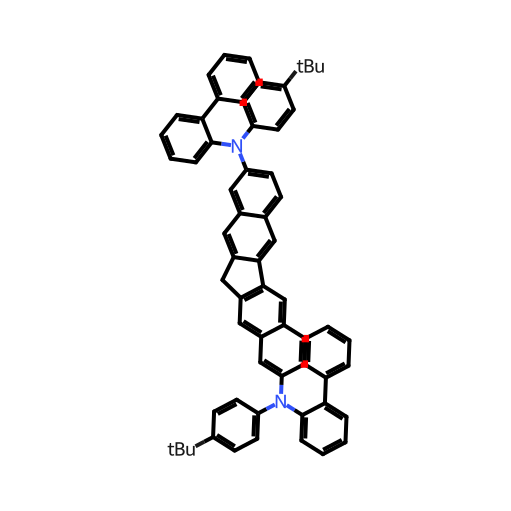 CC(C)(C)c1ccc(N(c2ccc3cc4c(cc3c2)Cc2cc3cc(N(c5ccc(C(C)(C)C)cc5)c5ccccc5-c5ccccc5)ccc3cc2-4)c2ccccc2-c2ccccc2)cc1